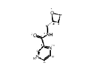 O=C(NC[C@H]1CCO1)c1cnccn1